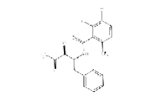 NC(=O)C(=O)C(Cc1ccccc1)NC(=O)c1c(C(F)(F)F)ccc(Cl)c1F